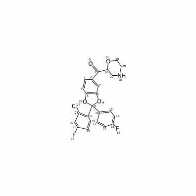 O=C(c1ccc2c(c1)OC(c1ccc(F)cc1)(c1ccc(F)cc1Cl)O2)C1CNCCO1